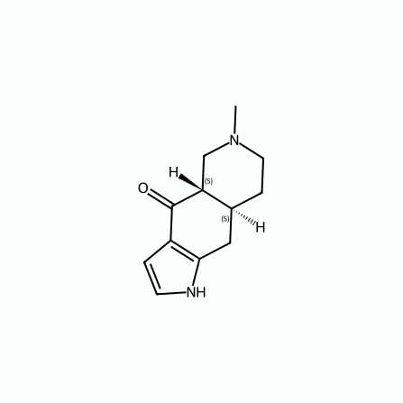 CN1CC[C@H]2Cc3[nH]ccc3C(=O)[C@@H]2C1